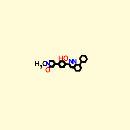 Cn1ccc(-c2ccc(-c3cc4c(nn3)C(C3CCCCC3)=CCC4)c(O)c2)cc1=O